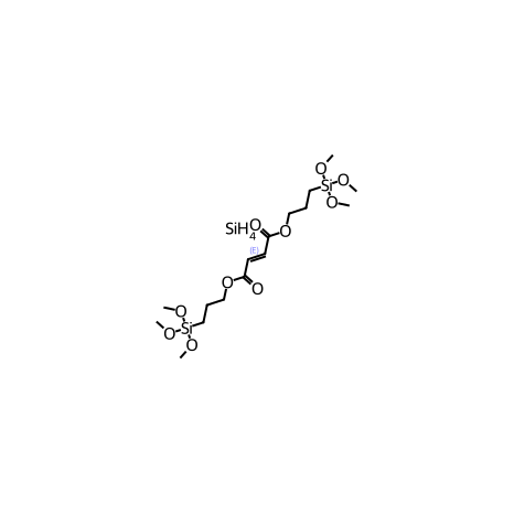 CO[Si](CCCOC(=O)/C=C/C(=O)OCCC[Si](OC)(OC)OC)(OC)OC.[SiH4]